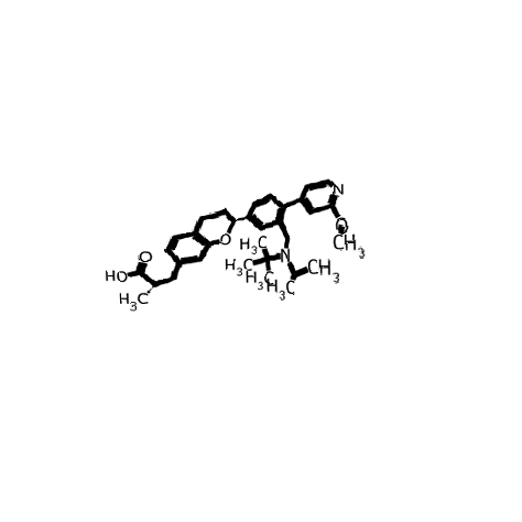 COc1cc(-c2ccc([C@@H]3CCc4ccc(C[C@H](C)C(=O)O)cc4O3)cc2CN(C(C)C)C(C)(C)C)ccn1